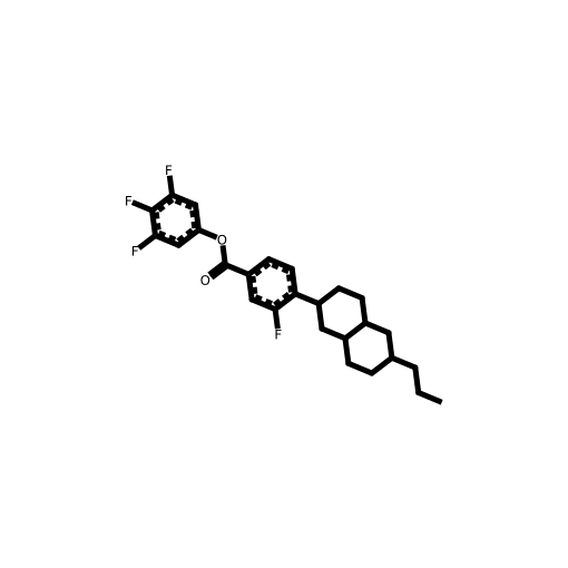 CCCC1CCC2CC(c3ccc(C(=O)Oc4cc(F)c(F)c(F)c4)cc3F)CCC2C1